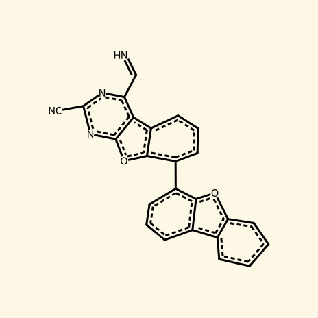 N#Cc1nc(C=N)c2c(n1)oc1c(-c3cccc4c3oc3ccccc34)cccc12